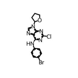 Clc1nc(Nc2ccc(Br)cc2)c2ncn(C3CCCO3)c2n1